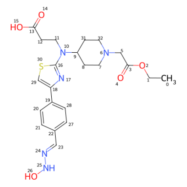 CCOC(=O)CN1CCC(N(CCC(=O)O)c2nc(-c3ccc(C=NNO)cc3)cs2)CC1